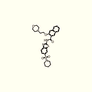 O=C(Nc1nc2ccc(S(=O)(=O)N3CCCCC3)cc2s1)c1cc2ccccc2cc1OCCN1CCOCC1